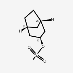 CS(=O)(=O)O[C@H]1C[C@@H]2CC[C@@H](C2)C1